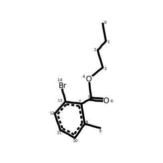 CCCCOC(=O)c1c(C)cccc1Br